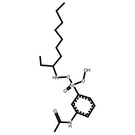 CCCCCCCC(CC)NO[As](=O)(OO)c1cccc(NC(C)=O)c1